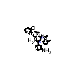 C=C(/N=C(\C=C(/N)c1cncc(N)c1)N1CCN(c2ncccc2Cl)C[C@H]1C)N1CCCC1C